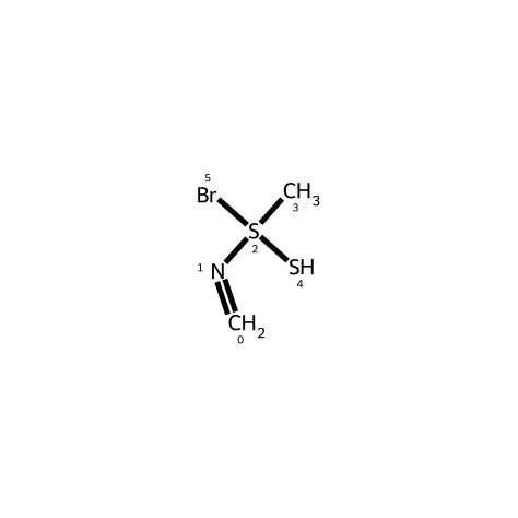 C=NS(C)(S)Br